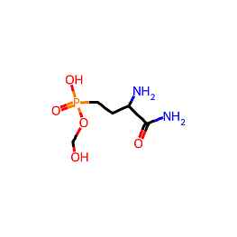 NC(=O)C(N)CCP(=O)(O)OCO